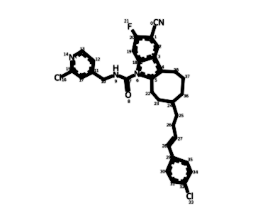 N#Cc1cc2c3c(n(C(=O)NCc4ccnc(Cl)c4)c2cc1F)CCC(CC/C=C/c1ccc(Cl)cc1)CCC3